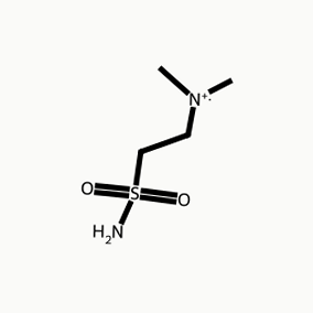 C[N+](C)CCS(N)(=O)=O